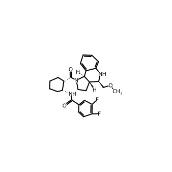 COC[C@@H]1Nc2ccccc2[C@H]2[C@H]1CCN2C(=O)[C@H]1CCCC[C@H]1NC(=O)c1ccc(F)c(F)c1